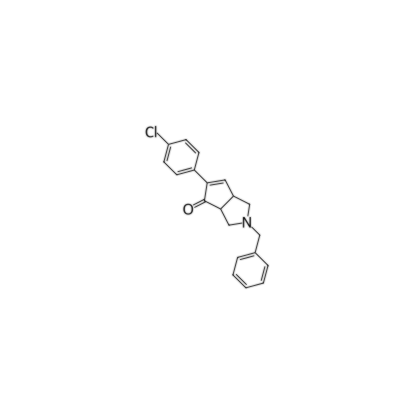 O=C1C(c2ccc(Cl)cc2)=CC2CN(Cc3ccccc3)CC12